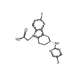 O=C(O)Cn1c2c(c3cc(F)ccc31)C[C@H](Nc1ncc(F)cn1)CC2